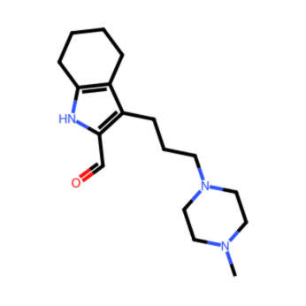 CN1CCN(CCCc2c(C=O)[nH]c3c2CCCC3)CC1